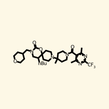 CCCCC1CN(CC2CCOCC2)C(=O)OC12CCN(C1(C)CCN(C(=O)c3c(C)nc(C(F)(F)F)nc3C)CC1)CC2